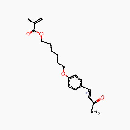 BC(=O)/C=C/c1ccc(OCCCCCCOC(=O)C(=C)C)cc1